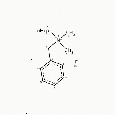 CCCCCCC[N+](C)(C)Cc1ccccc1.[I-]